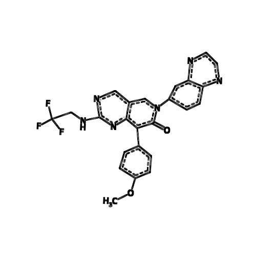 COc1ccc(-c2c(=O)n(-c3ccc4nccnc4c3)cc3cnc(NCC(F)(F)F)nc23)cc1